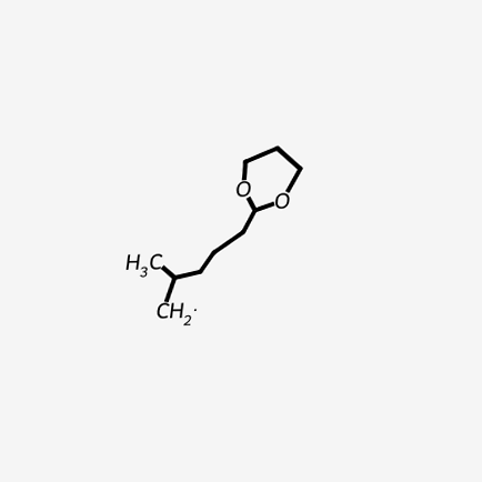 [CH2]C(C)CCCC1OCCCO1